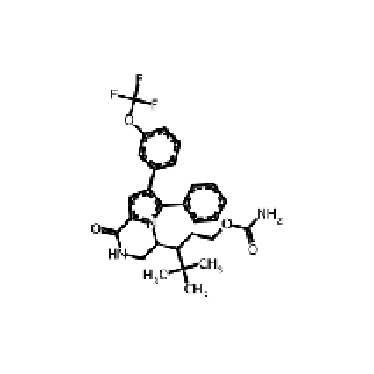 CC(C)(C)C(CCOC(N)=O)[C@H]1CNC(=O)c2cc(-c3cccc(OC(F)(F)F)c3)c(-c3ccccc3)n21